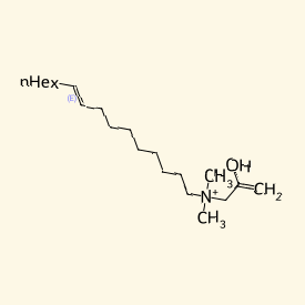 C=C(O)C[N+](C)(C)CCCCCCCC/C=C/CCCCCC